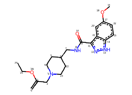 C=C(CN1CCC(CNC(=O)c2n[nH]c3ccc(OC)cc23)CC1)OCC